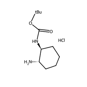 CC(C)(C)OC(=O)N[C@H]1CCCC[C@@H]1N.Cl